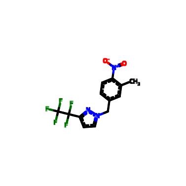 Cc1cc(Cn2ccc(C(F)(F)C(F)(F)F)n2)ccc1[N+](=O)[O-]